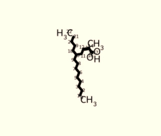 CCCCCCCCCCC(CC=C(C)C(=O)O)CCCCC